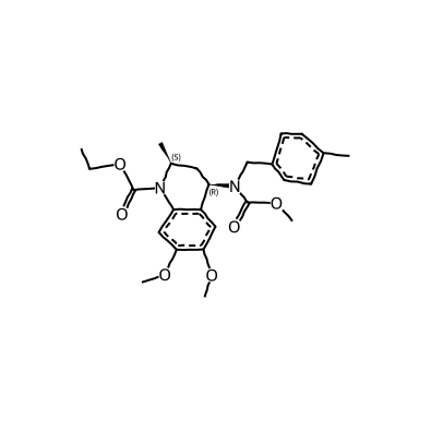 CCOC(=O)N1c2cc(OC)c(OC)cc2[C@H](N(Cc2ccc(C)cc2)C(=O)OC)C[C@@H]1C